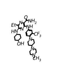 CCc1nc(C(N)=O)c(Nc2ccc(N3CCC(N4CCN(C)CC4)CC3)c(C(F)(F)F)c2)nc1N[C@H]1CC[C@H](O)CC1